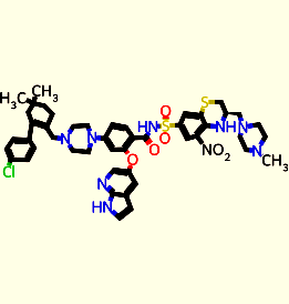 CN1CCN(C[C@@H]2CSc3cc(S(=O)(=O)NC(=O)c4ccc(N5CCN(CC6=C(c7ccc(Cl)cc7)CC(C)(C)CC6)CC5)cc4Oc4cnc5[nH]ccc5c4)cc([N+](=O)[O-])c3N2)CC1